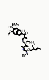 C=C(/C=N\N(CN)C(=C)/C(C)=C\C(=N/CC)OCC(F)C=CC)C(=O)C1=CC2=C=C(C=C(NSC)C(OF)=C2)N1